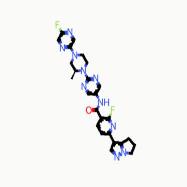 C[C@H]1CN(c2cnc(F)cn2)CCN1c1ncc(NC(=O)c2ccc(-c3cnn4c3CCC4)nc2F)cn1